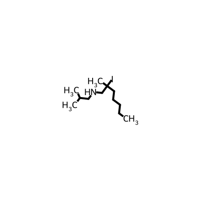 CCCCCC(C)(I)CNCC(C)C